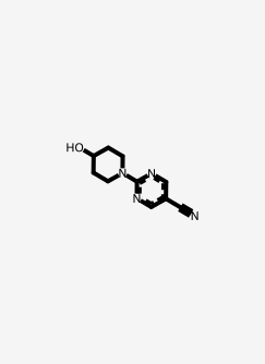 N#Cc1cnc(N2CCC(O)CC2)nc1